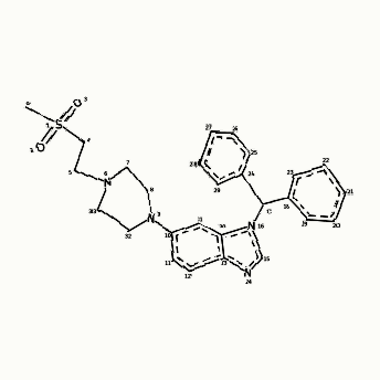 CS(=O)(=O)CCN1CCN(c2ccc3ncn(C(c4ccccc4)c4ccccc4)c3c2)CC1